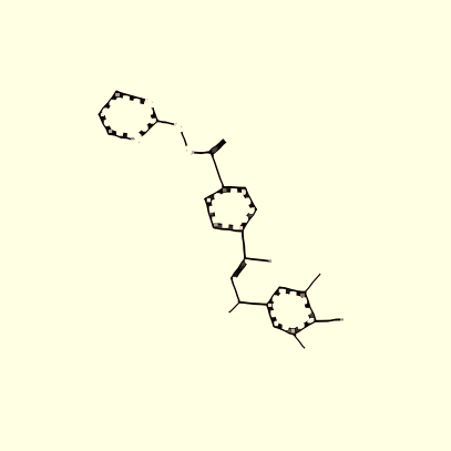 O=C(NNc1ncccn1)c1ccc(C(F)=CC(c2cc(Cl)c(Cl)c(Cl)c2)C(F)(F)F)cc1